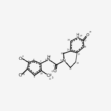 O=C(Nc1cc(Cl)c(Cl)cc1C(F)(F)F)N1CCc2cc(=O)[nH]cc2C1